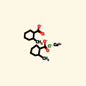 CC1CCCCC1C(=O)[O-].CC1CCCCC1C(=O)[O-].[Cl-].[Ga+3]